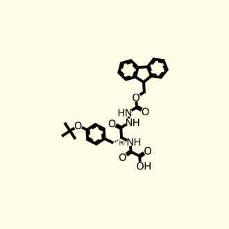 CC(C)(C)Oc1ccc(C[C@@H](NC(=O)C(=O)O)C(=O)NNC(=O)OCC2c3ccccc3-c3ccccc32)cc1